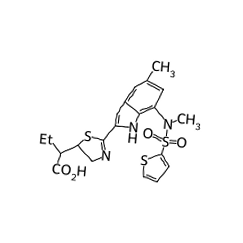 CCC(C(=O)O)C1CN=C(c2cc3cc(C)cc(N(C)S(=O)(=O)c4cccs4)c3[nH]2)S1